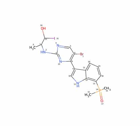 CC(Nc1ncc(Br)c(-c2c[nH]c3c(P(C)(C)=O)cccc23)n1)C(O)I